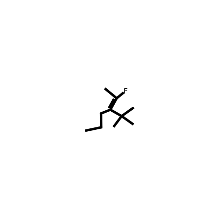 CCC/C(=C(\C)F)C(C)(C)C